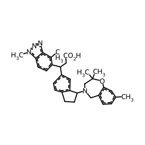 Cc1ccc2c(c1)OC(C)(C)CN(C1CCc3ccc(C(CC(=O)O)c4ccc5c(nnn5C)c4C)cc31)C2